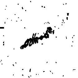 COc1ccc(CC(=O)Nc2cc(C3CC(c4cccc(CNC5CCC5)c4)C3)n[nH]2)cc1